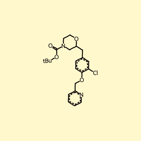 CC(C)(C)OC(=O)N1CCOC(Cc2ccc(OCc3ccccn3)c(Cl)c2)C1